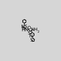 Nc1c(C(=O)Nc2nnc(-c3ccccc3)s2)sc2nc(-c3cccs3)ccc12